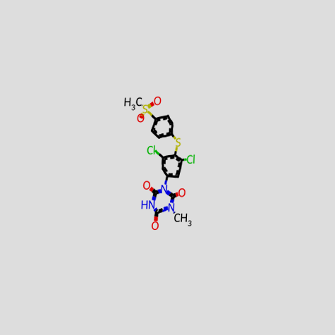 Cn1c(=O)[nH]c(=O)n(-c2cc(Cl)c(Sc3ccc(S(C)(=O)=O)cc3)c(Cl)c2)c1=O